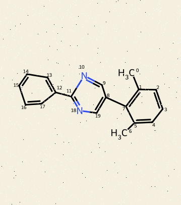 Cc1cccc(C)c1-c1cnc(-c2ccccc2)nc1